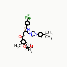 Cc1cc(C(=O)CCc2sc(-c3ccc(C(F)(F)F)cc3)nc2CN2CCN(c3ccc(C(C)C)cc3)CC2)ccc1OC(C)(C)C=O